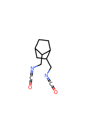 O=C=NCC1CC2CCC1C2CN=C=O